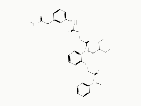 CCC(CC)CN(C(=O)CNC(=O)Nc1cccc(CC(=O)OC)c1)c1ccccc1OCC(=O)N(C)c1ccccc1